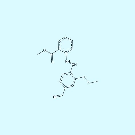 CCOc1cc(C=O)ccc1O.COC(=O)c1ccccc1N